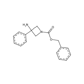 NC1(c2ccccc2)CN(C(=O)OCc2ccccc2)C1